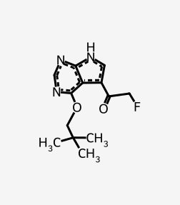 CC(C)(C)COc1ncnc2[nH]cc(C(=O)CF)c12